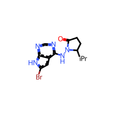 CC(C)C1CCC(=O)N1Nc1ncnc2[nH]c(Br)cc12